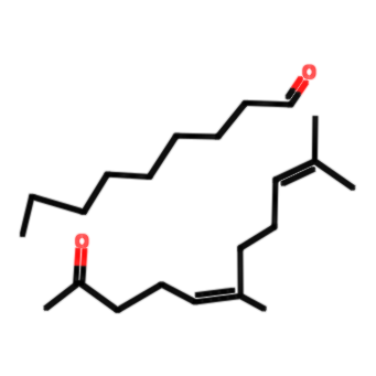 CC(=O)CCC=C(C)CCC=C(C)C.CCCCCCCCC=O